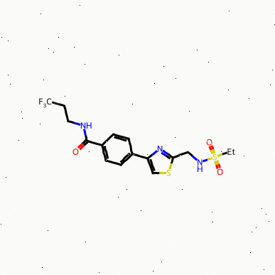 CCS(=O)(=O)NCc1nc(-c2ccc(C(=O)NCCC(F)(F)F)cc2)cs1